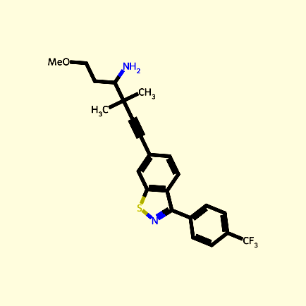 COCCC(N)C(C)(C)C#Cc1ccc2c(-c3ccc(C(F)(F)F)cc3)nsc2c1